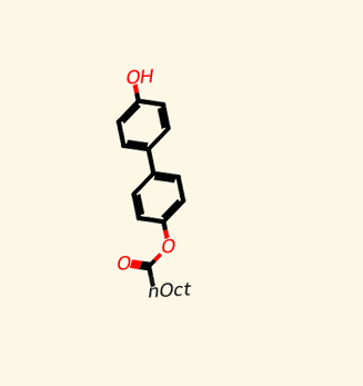 CCCCCCCCC(=O)Oc1ccc(-c2ccc(O)cc2)cc1